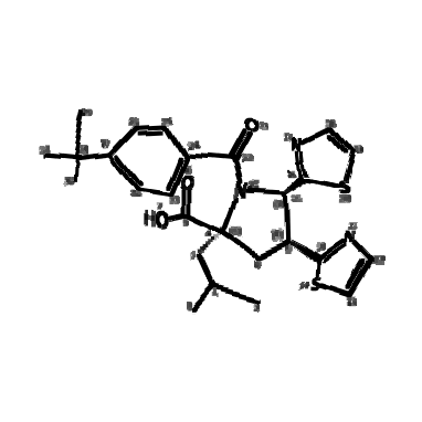 CC(C)C[C@@]1(C(=O)O)C[C@H](c2nccs2)[C@H](c2nccs2)N1C(=O)c1ccc(C(C)(C)C)cc1